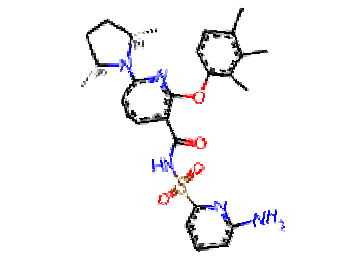 Cc1ccc(Oc2nc(N3[C@H](C)CC[C@@H]3C)ccc2C(=O)NS(=O)(=O)c2cccc(N)n2)c(C)c1C